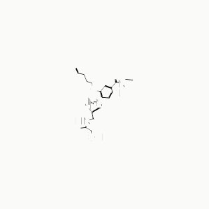 C=CCCCOc1cc(C(=O)NCC)ccc1-n1cc(C(=O)NC(C)CO)nn1